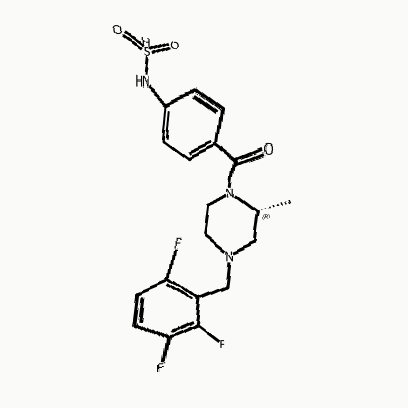 C[C@@H]1CN(Cc2c(F)ccc(F)c2F)CCN1C(=O)c1ccc(N[SH](=O)=O)cc1